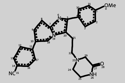 COc1ccc(-c2nc3ccc(-c4ccc(C#N)cc4)cn3c2CCN2CCNC(=O)C2)cc1